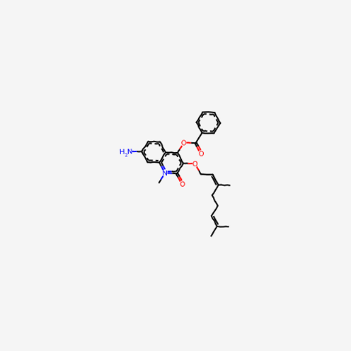 CC(C)=CCCC(C)=CCOc1c(OC(=O)c2ccccc2)c2ccc(N)cc2n(C)c1=O